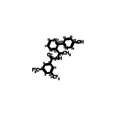 CC(NC(=O)c1cc(C(F)(F)F)cc(C(F)(F)F)c1)c1nccnc1-c1ccc(O)cn1